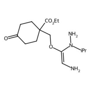 CCOC(=O)C1(CO/C(=C/N)N(N)C(C)C)CCC(=O)CC1